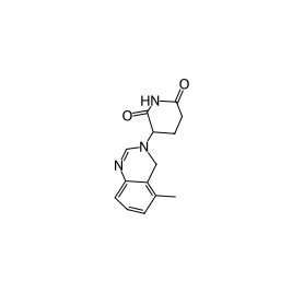 Cc1cccc2c1CN(C1CCC(=O)NC1=O)C=N2